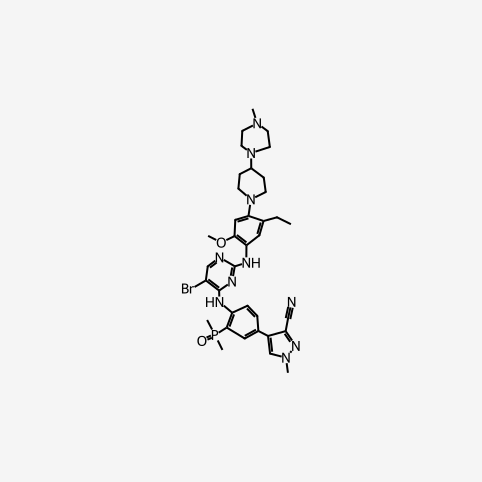 CCc1cc(Nc2ncc(Br)c(Nc3ccc(-c4cn(C)nc4C#N)cc3P(C)(C)=O)n2)c(OC)cc1N1CCC(N2CCN(C)CC2)CC1